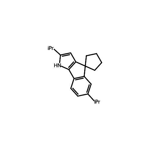 CC(C)c1ccc2c(c1)C1(CCCC1)c1cc(C(C)C)[nH]c1-2